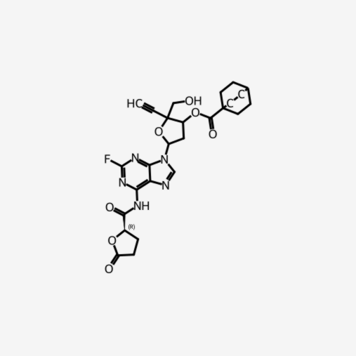 C#CC1(CO)OC(n2cnc3c(NC(=O)[C@H]4CCC(=O)O4)nc(F)nc32)CC1OC(=O)C12CCC(CC1)CC2